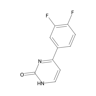 O=c1nc(-c2ccc(F)c(F)c2)cc[nH]1